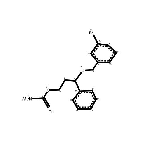 CNC(=O)OCCC(OCc1cccc(Br)c1)c1ccccc1